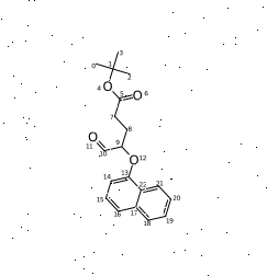 CC(C)(C)OC(=O)CCC(C=O)Oc1cccc2ccccc12